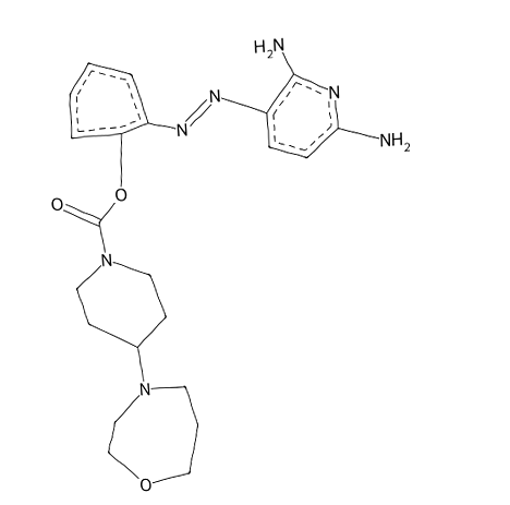 Nc1ccc(/N=N/c2ccccc2OC(=O)N2CCC(N3CCCOCC3)CC2)c(N)n1